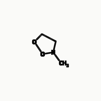 CN1CCOO1